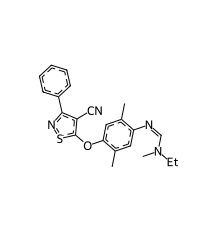 CCN(C)/C=N\c1cc(C)c(Oc2snc(-c3ccccc3)c2C#N)cc1C